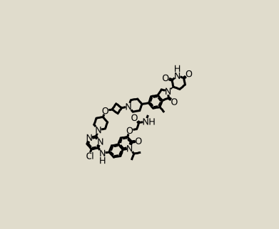 CNC(=O)COc1cc2cc(Nc3nc(N4CCC(OC5CC(N6CCC(c7cc(C)c8c(c7)CN([C@@H]7CCC(=O)NC7=O)C8=O)CC6)C5)CC4)ncc3Cl)ccc2n(C(C)C)c1=O